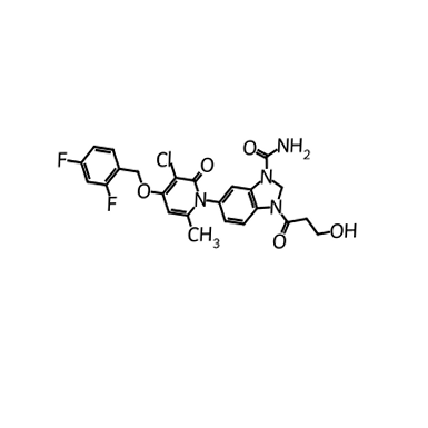 Cc1cc(OCc2ccc(F)cc2F)c(Cl)c(=O)n1-c1ccc2c(c1)N(C(N)=O)CN2C(=O)CCO